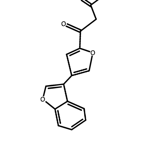 O=C(O)CC(=O)c1cc(-c2coc3ccccc23)co1